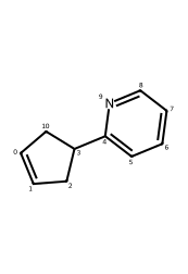 C1=CCC(c2ccccn2)C1